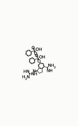 N=C(N)NN=C1CCc2c(C(=N)N)cccc21.O=S(=O)(O)c1ccccc1.O=S(=O)(O)c1ccccc1